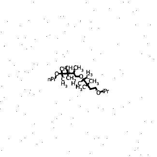 CCCOC(C)(C)C(C)(C)C(C)COC(C)(C)C(C)(C)CCOC(C)C